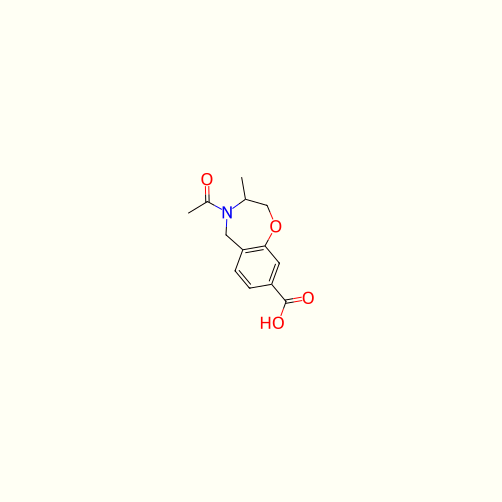 CC(=O)N1Cc2ccc(C(=O)O)cc2OCC1C